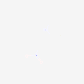 CCSC(C=C1NCCCS1)[N+](=O)[O-]